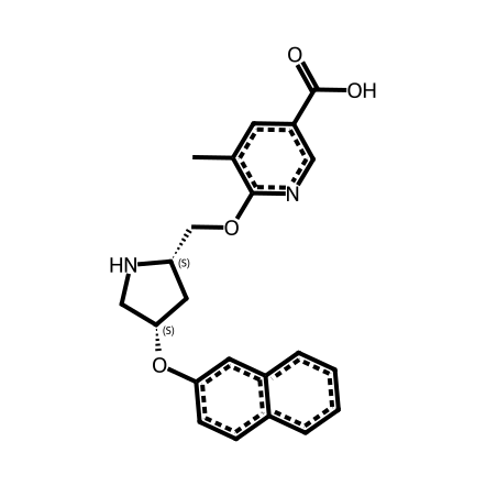 Cc1cc(C(=O)O)cnc1OC[C@@H]1C[C@H](Oc2ccc3ccccc3c2)CN1